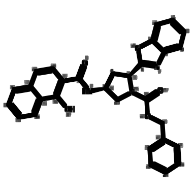 O=C(N[C@H]1C[C@@H](c2nc3ccccc3o2)N(C(=O)OCc2ccccc2)C1)c1ccc2ccccc2c1O